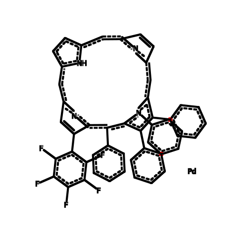 Fc1c(F)c(F)c(C2=Cc3cc4ccc(cc5nc(cc6c(-c7ccccc7)c(-c7ccccc7)c(c(-c7ccccc7)c2n3)n6-c2ccccc2)C=C5)[nH]4)c(F)c1F.[Pd]